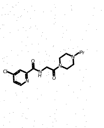 CC(C)N1CCN(C(=O)CNC(=O)c2cc(Cl)ccn2)CC1